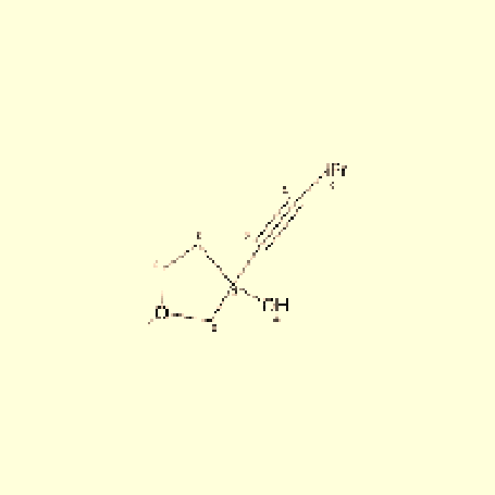 CC(C)C#CC1(O)CCOC1